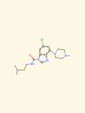 CC(C)CCNC(=O)n1cnc2c(N3CCN(C)CC3)cc(Cl)cc21